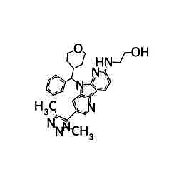 Cc1nnn(C)c1-c1cnc2c3ccc(NCCO)nc3n(C(c3ccccc3)C3CCOCC3)c2c1